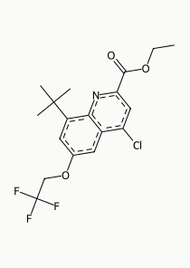 CCOC(=O)c1cc(Cl)c2cc(OCC(F)(F)F)cc(C(C)(C)C)c2n1